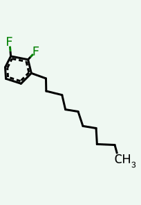 CCCCCCCCCCc1cccc(F)c1F